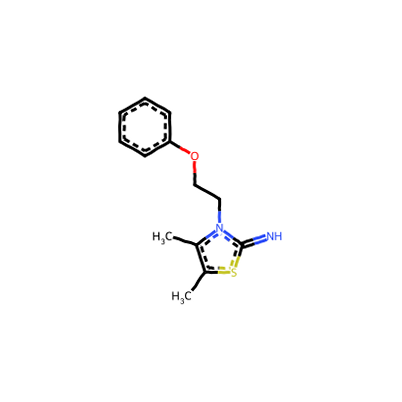 Cc1sc(=N)n(CCOc2ccccc2)c1C